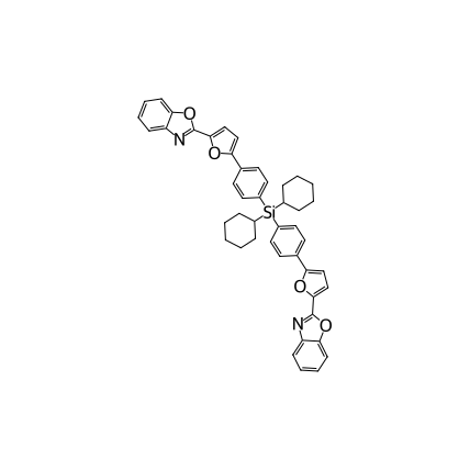 c1ccc2oc(-c3ccc(-c4ccc([Si](c5ccc(-c6ccc(-c7nc8ccccc8o7)o6)cc5)(C5CCCCC5)C5CCCCC5)cc4)o3)nc2c1